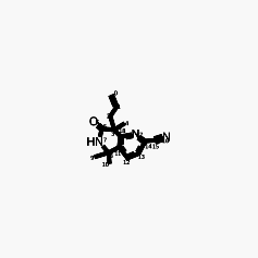 C=CCC1(C)C(=O)NC(C)(C)c2ccc(C#N)nc21